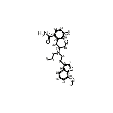 CCCN(CCc1coc2c(OC)cccc12)C1COc2c(F)ccc(C(N)=O)c2C1